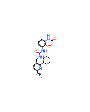 O=C1COc2c(cccc2NC(=O)NCc2ccc(C(F)(F)F)nc2C2CCCCC2)N1